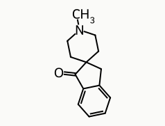 CN1CCC2(CC1)Cc1ccccc1C2=O